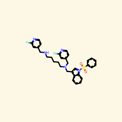 O=S(=O)(c1ccccc1)n1cc(CN(CCCCCNCc2ccnc(F)c2)Cc2ccnc(F)c2)c2ccccc21